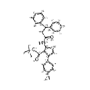 CC(C)(C)OC(=O)c1c(-c2ccc(Cl)cc2)csc1NC(=O)CC(c1ccccc1)c1ccccc1